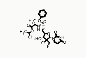 CC(C)OC(=O)[C@H](C)NP(=O)(OCC1O[C@H](n2ccc(=O)[nH]c2=O)C(Cl)(CF)[C@@H]1O)Oc1ccccc1